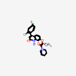 C[C@@H](Oc1ccc2c(-c3ccc(F)cc3Cl)cc(=O)[nH]c2c1)C(=O)N1CCCCC1